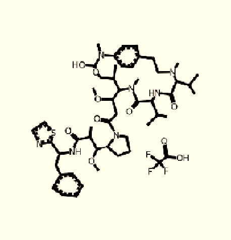 CCC(C)C(C(CC(=O)N1CCC[C@H]1C(OC)C(C)C(=O)NC(Cc1ccccc1)c1nccs1)OC)N(C)C(=O)C(NC(=O)C(C(C)C)N(C)CCc1ccc(N(C)C(=O)O)cc1)C(C)C.O=C(O)C(F)(F)F